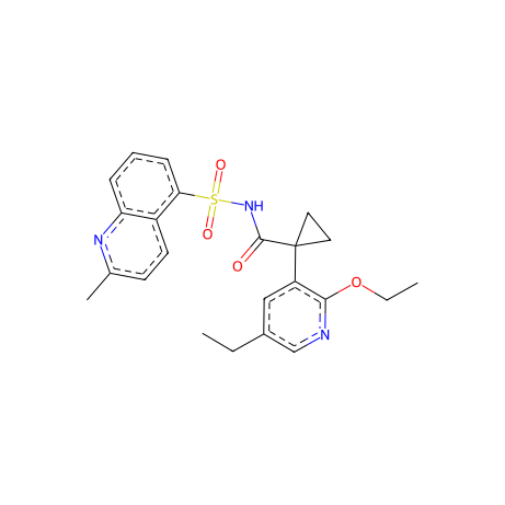 CCOc1ncc(CC)cc1C1(C(=O)NS(=O)(=O)c2cccc3nc(C)ccc23)CC1